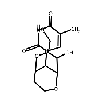 Cc1cn(C2C3CCOC2C(O)C(CO)O3)c(=O)[nH]c1=O